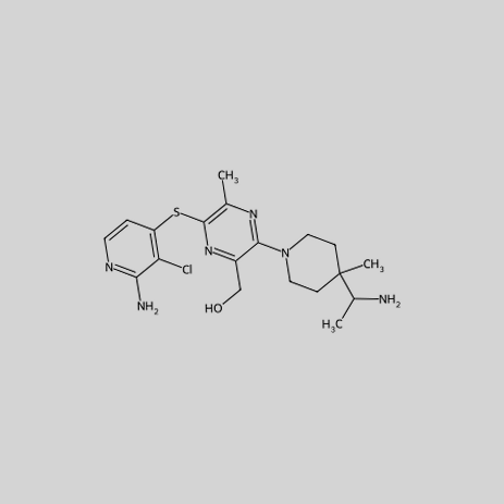 Cc1nc(N2CCC(C)(C(C)N)CC2)c(CO)nc1Sc1ccnc(N)c1Cl